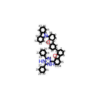 C1=CC2c3cc(-c4cccc5c4oc4c(C6=NC(c7ccccc7)NC(c7ccccc7)N6)cccc45)ccc3OC2C(n2c3ccccc3c3ccccc32)=C1